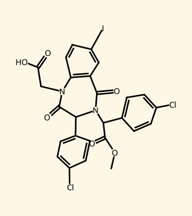 COC(=O)C(c1ccc(Cl)cc1)N1C(=O)c2cc(I)ccc2N(CC(=O)O)C(=O)C1c1ccc(Cl)cc1